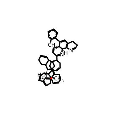 Cc1ccccc1C1=CC2=C(N=CCC2)[C@H]2N=C(C3CC=CC(C4C\C=C/C(/C=C5\C=CCC\C5=C5/CCC6C=CCCC6[C@H]5N)=C/CC4C)CC3)C=CC12